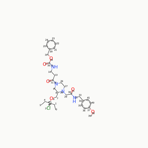 CC[Si](Cl)(CC)OCC1CN(C(=O)CCNC(=O)OCc2ccccc2)CCN1CC(=O)NCc1ccc(OC)cc1